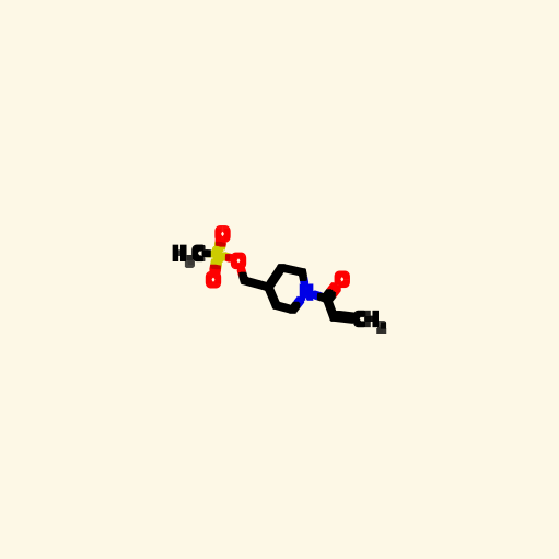 C=CC(=O)N1CCC(COS(C)(=O)=O)CC1